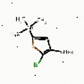 CCCCCCc1c[c]([Sn]([CH3])([CH3])[CH3])sc1Br